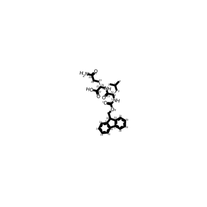 CC(C)C[C@H](NC(=O)OCC1c2ccccc2-c2ccccc21)C(=O)N[C@@H](CCC(N)=O)C(=O)O